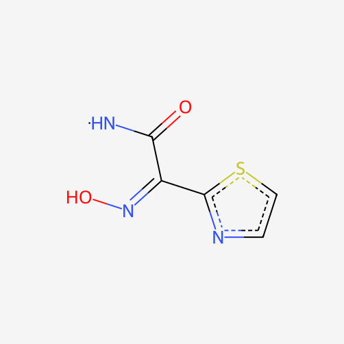 [NH]C(=O)C(=NO)c1nccs1